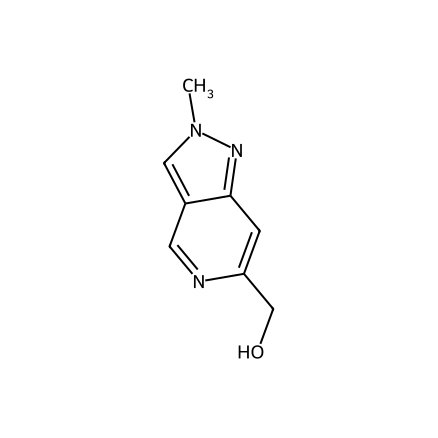 Cn1cc2cnc(CO)cc2n1